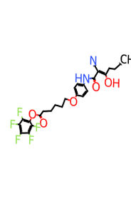 C#CCC/C(O)=C(\C#N)C(=O)Nc1ccc(OCCCCCC(=O)Oc2c(F)c(F)c(F)c(F)c2F)cc1